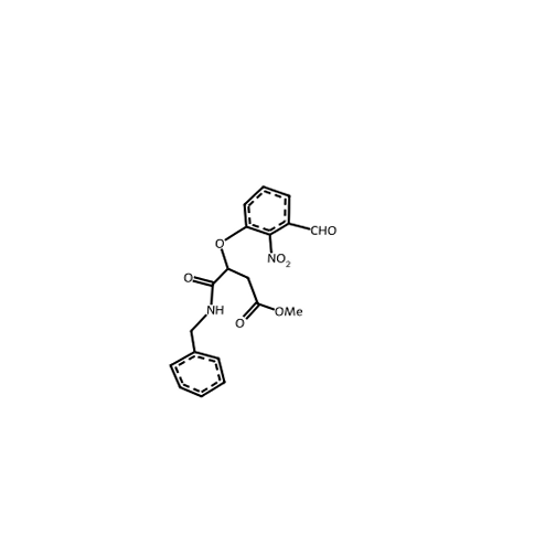 COC(=O)CC(Oc1cccc(C=O)c1[N+](=O)[O-])C(=O)NCc1ccccc1